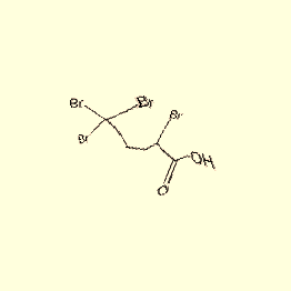 O=C(O)C(Br)CC(Br)(Br)Br